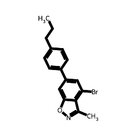 CCCc1ccc(-c2cc(Br)c3c(C)noc3c2)cc1